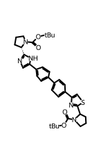 CC(C)(C)OC(=O)N1CCCC1c1nc(-c2ccc(-c3ccc(-c4cnc([C@@H]5CCCN5C(=O)OC(C)(C)C)[nH]4)cc3)cc2)cs1